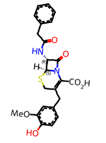 COc1cc(CC2=C(C(=O)O)N3C(=O)[C@@H](NC(=O)Cc4ccccc4)[C@@H]3SC2)ccc1O